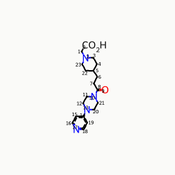 O=C(O)CN1CCC(CCC(=O)N2CCN(c3ccncc3)CC2)CC1